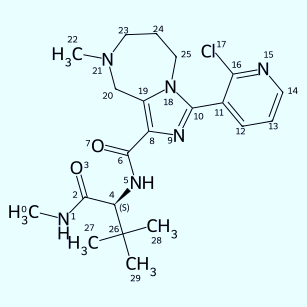 CNC(=O)[C@@H](NC(=O)c1nc(-c2cccnc2Cl)n2c1CN(C)CCC2)C(C)(C)C